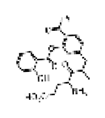 CC(C)C(=O)c1ccc(CC(C)C(=O)C(N)CCC(=O)O)cc1OC(=O)c1ccccc1O